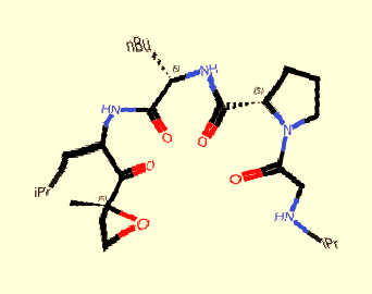 CCCC[C@H](NC(=O)[C@@H]1CCCN1C(=O)CNC(C)C)C(=O)NC(CC(C)C)C(=O)[C@@]1(C)CO1